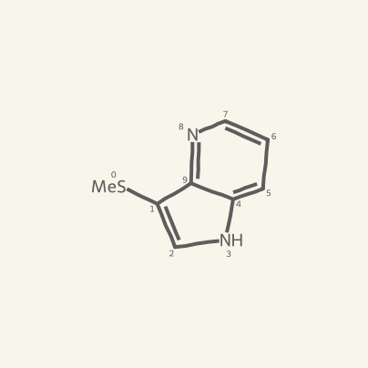 CSc1c[nH]c2cccnc12